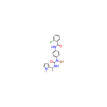 CC(NC(=O)N(S)c1ccc(NC(=O)c2ccccc2F)cc1)c1cccn1C